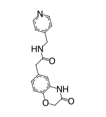 O=C(Cc1ccc2c(c1)NC(=O)CO2)NCc1ccncc1